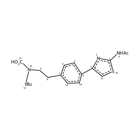 CC(=O)Nc1nc(-c2ccc(CCN(C(=O)O)C(C)(C)C)cc2)cs1